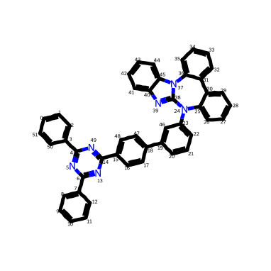 c1ccc(-c2nc(-c3ccccc3)nc(-c3ccc(-c4cccc(N5c6ccccc6-c6ccccc6-n6c5nc5ccccc56)c4)cc3)n2)cc1